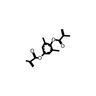 C=C(C)C(=O)Oc1cc(C)c(OC(=O)C(=C)C)c(C)c1